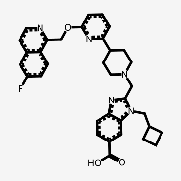 O=C(O)c1ccc2nc(CN3CCC(c4cccc(OCc5nccc6cc(F)ccc56)n4)CC3)n(CC3CCC3)c2c1